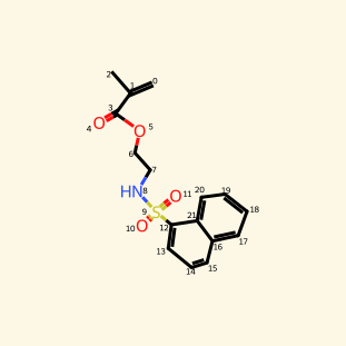 C=C(C)C(=O)OCCNS(=O)(=O)c1cccc2ccccc12